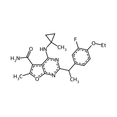 CCOc1ccc(C(C)c2nc(NC3(C)CC3)c3c(C(N)=O)c(C)oc3n2)cc1F